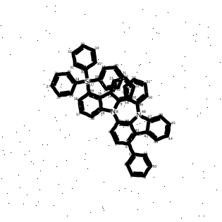 c1ccc(-c2ccc(-n3c4ccccc4c4c([Si](c5ccccc5)(c5ccccc5)c5ccccc5)cccc43)c3c2c2ccccc2n3-c2ccccc2)cc1